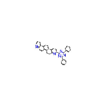 c1ccc(-c2nc(-c3ccccc3)nc(-c3ccc4c(ccc5c4ccc4c6cccnc6ccc45)n3)n2)cc1